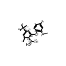 COc1cc(F)ccc1Oc1cc(C(C)(C)C)cc(C)c1B(O)O